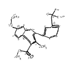 COC(=O)c1c(C)c(-c2cccc(C(F)(F)F)c2)nc2cc(OC)ccc12